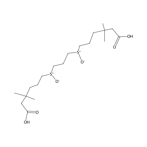 CC(C)(CCC[S+]([O-])CCC[S+]([O-])CCCC(C)(C)CC(=O)O)CC(=O)O